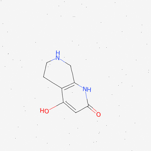 O=c1cc(O)c2c([nH]1)CNCC2